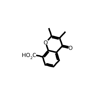 Cc1oc2c(C(=O)O)cccc2c(=O)c1C